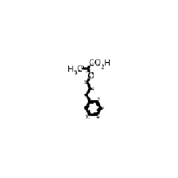 CC(OCCCc1ccccc1)C(=O)O